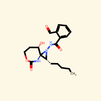 CCCCC[C@H]1N(NC(=O)c2ccccc2C=O)[C@]12NC(=O)OCC[C@@H]2O